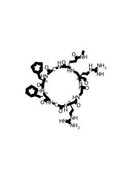 CNC(=O)CC[C@@H]1NC[C@@](C=O)(CCNC(=N)N)NC(=O)CNC(=O)[C@@H](CCNC(=N)N)NC(=O)CNC(=O)[C@H](Cc2ccccc2)NC(=O)[C@@H](Cc2ccccc2)NC(=O)CNC1=O